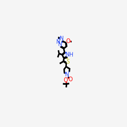 COc1cc(-c2[nH]c3sc(C4CCN(C(=O)OC(C)(C)C)CC4)c(C)c3c2C(C)C)cn2ncnc12